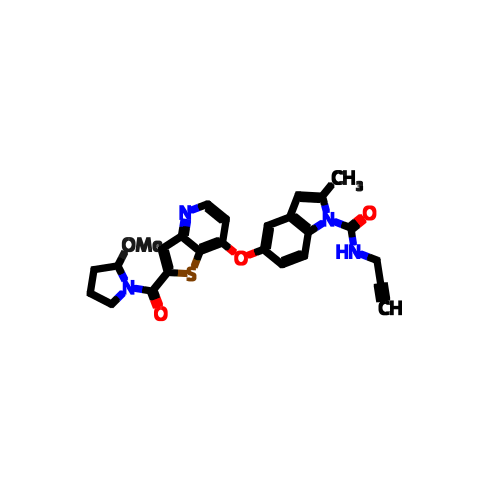 C#CCNC(=O)n1c(C)cc2cc(Oc3ccnc4cc(C(=O)N5CCCC5OC)sc34)ccc21